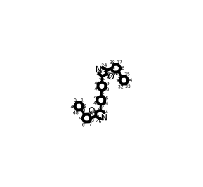 c1ccc(-c2cccc3c2oc2c(-c4ccc(-c5ccc(-c6cncc7c6oc6c(-c8ccccc8)cccc67)cc5)cc4)cncc23)cc1